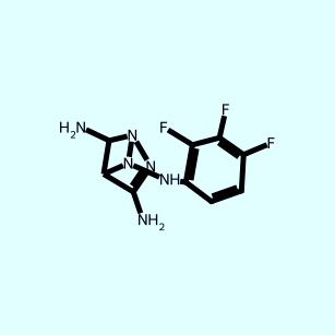 NC1=NN2C(N)C1N2Nc1ccc(F)c(F)c1F